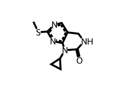 CSc1ncc2c(n1)N(C1CC1)C(=O)NC2